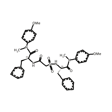 COc1ccc(N(C)C(=O)[C@H](Cc2ccccc2)NC(=O)CS(=O)(=O)N[C@@H](Cc2ccccc2)C(=O)N(C)c2ccc(OC)cc2)cc1